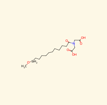 CO[SiH2]CCCCCCCCCCC(=O)N(CC(=O)O)CC(=O)O